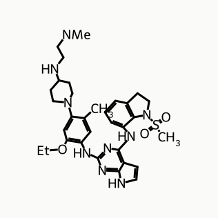 CCOc1cc(N2CCC(NCCNC)CC2)c(C)cc1Nc1nc(Nc2cccc3c2N(S(C)(=O)=O)CC3)c2cc[nH]c2n1